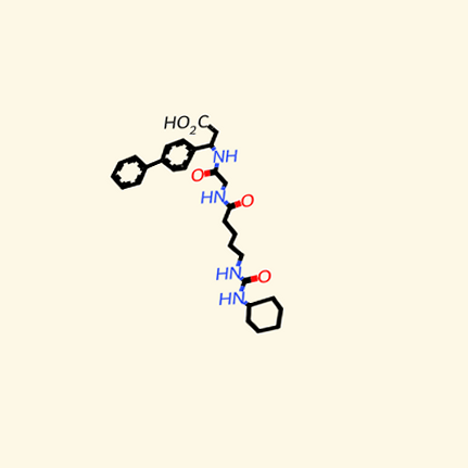 O=C(O)CC(NC(=O)CNC(=O)CCCCNC(=O)NC1CCCCC1)c1ccc(-c2ccccc2)cc1